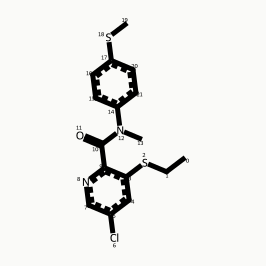 CCSc1cc(Cl)cnc1C(=O)N(C)c1ccc(SC)cc1